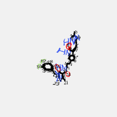 Cc1c[nH]c(C=C2C(=O)Nc3cc(C=CCNC(=O)c4c(C)n(C)n(Cc5ccc(F)c(F)c5)c4=O)ccc32)n1